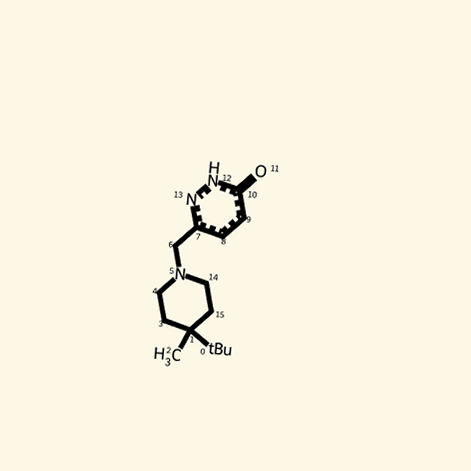 CC(C)(C)C1(C)CCN(Cc2ccc(=O)[nH]n2)CC1